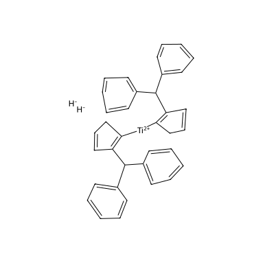 C1=CC(C(c2ccccc2)c2ccccc2)=[C]([Ti+2][C]2=C(C(c3ccccc3)c3ccccc3)C=CC2)C1.[H-].[H-]